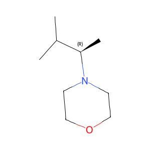 CC(C)[C@@H](C)N1CCOCC1